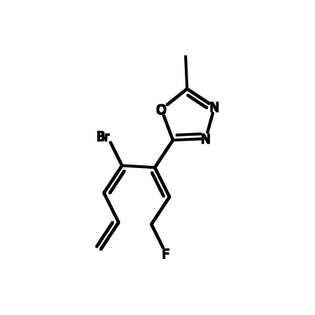 C=C/C=C(Br)\C(=C/CF)c1nnc(C)o1